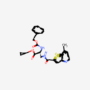 Cc1ccnc2cc(C(=O)NC[C@@H](NC(=O)OCc3ccccc3)C(=O)OC3CC3)sc12